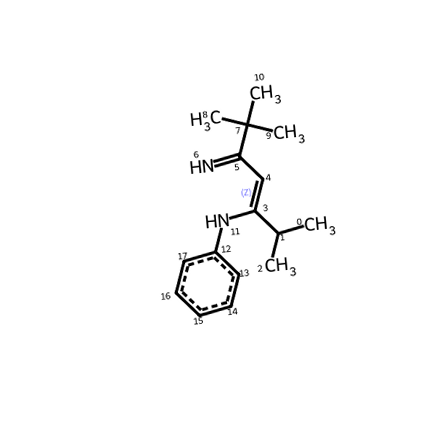 CC(C)/C(=C/C(=N)C(C)(C)C)Nc1ccccc1